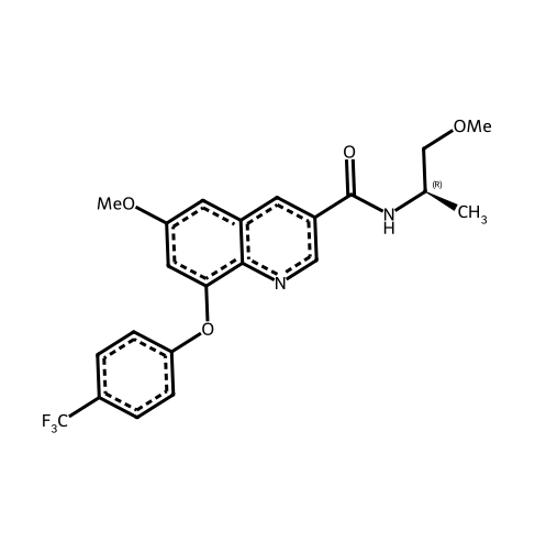 COC[C@@H](C)NC(=O)c1cnc2c(Oc3ccc(C(F)(F)F)cc3)cc(OC)cc2c1